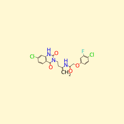 C=C(CCn1c(=O)[nH]c2cc(Cl)ccc2c1=O)NC(=O)COc1ccc(Cl)c(F)c1